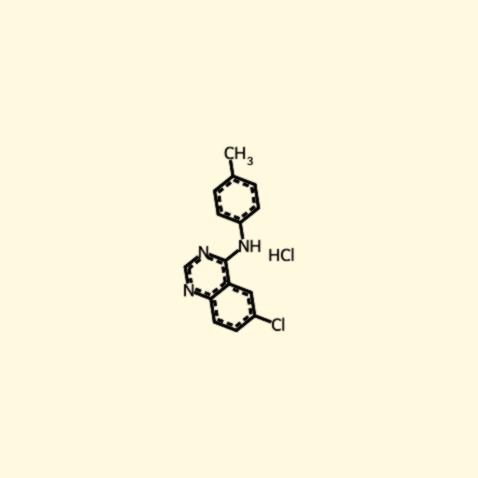 Cc1ccc(Nc2ncnc3ccc(Cl)cc23)cc1.Cl